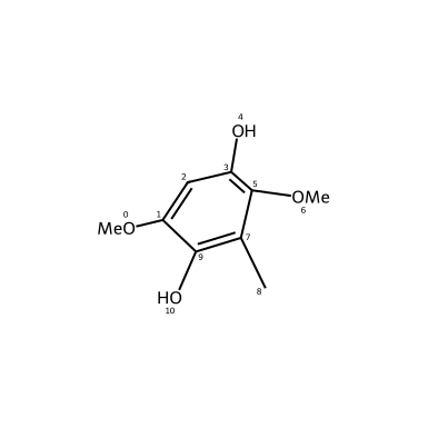 COc1cc(O)c(OC)c(C)c1O